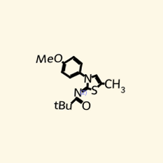 COc1ccc(-n2cc(C)s/c2=N\C(=O)C(C)(C)C)cc1